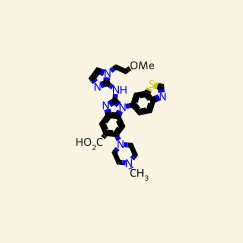 COCCn1ccnc1Nc1nc2cc(C(=O)O)c(N3CCN(C)CC3)cc2n1-c1ccc2ncsc2c1